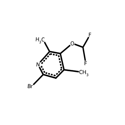 Cc1cc(Br)nc(C)c1OC(F)F